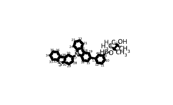 CC(C)(O)C(C)(C)OBc1cccc(-c2ccc3c(c2)c2ccccc2n3-c2ccc3sc4ccccc4c3c2)c1